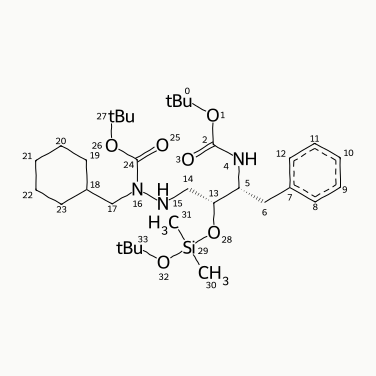 CC(C)(C)OC(=O)N[C@H](Cc1ccccc1)[C@@H](CNN(CC1CCCCC1)C(=O)OC(C)(C)C)O[Si](C)(C)OC(C)(C)C